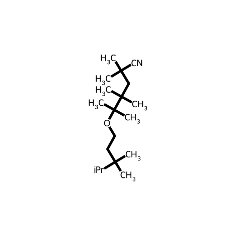 CC(C)C(C)(C)CCOC(C)(C)C(C)(C)CC(C)(C)C#N